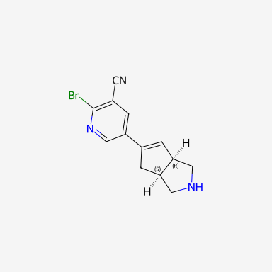 N#Cc1cc(C2=C[C@H]3CNC[C@H]3C2)cnc1Br